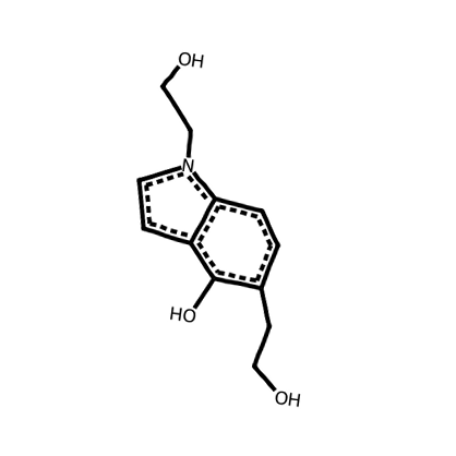 OCCc1ccc2c(ccn2CCO)c1O